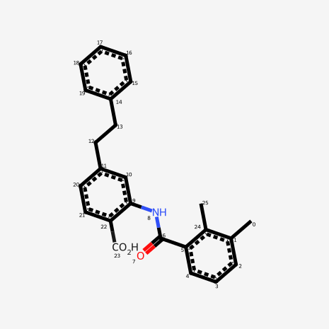 Cc1cccc(C(=O)Nc2cc(CCc3ccccc3)ccc2C(=O)O)c1C